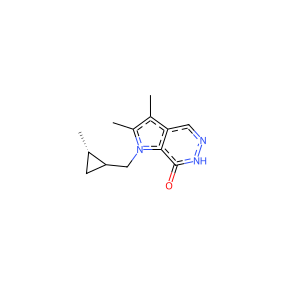 Cc1c(C)n(CC2C[C@@H]2C)c2c(=O)[nH]ncc12